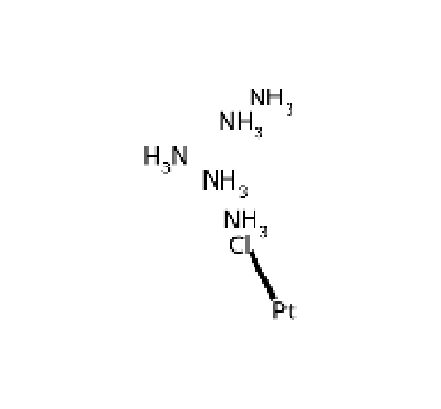 N.N.N.N.N.[Cl][Pt]